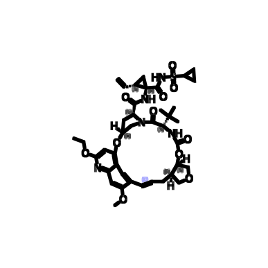 C=C[C@@H]1C[C@]1(NC(=O)[C@@H]1C[C@@H]2CN1C(=O)[C@H](C(C)(C)C)NC(=O)O[C@@H]1COC[C@H]1C/C=C/c1cc3c(cc(OCC)nc3cc1OC)O2)C(=O)NS(=O)(=O)C1CC1